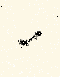 O=C(NCCCCCCn1sc2cc(C(F)(F)F)ccc2c1=O)c1ccccc1